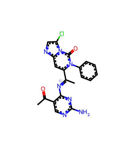 CC(=O)c1cnc(N)nc1/N=C(\C)c1cc2ncc(Cl)n2c(=O)n1-c1ccccc1